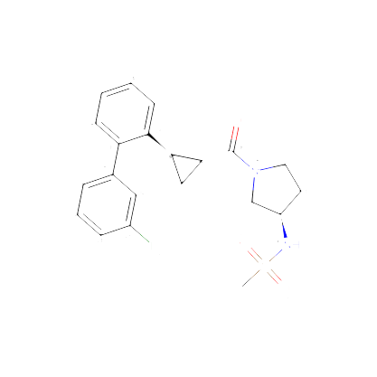 CS(=O)(=O)N[C@@H]1CCN(C(=O)[C@@H]2C[C@H]2c2ccccc2-c2cccc(F)c2)C1